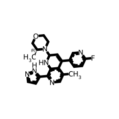 Cc1cnc(-c2ccn[nH]2)c2c1C(c1ccc(F)nc1)=CC(N1CCOC[C@H]1C)N2